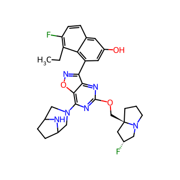 CCc1c(F)ccc2cc(O)cc(-c3noc4c(N5CC6CCC(C5)N6)nc(OC[C@@]56CCCN5C[C@H](F)C6)nc34)c12